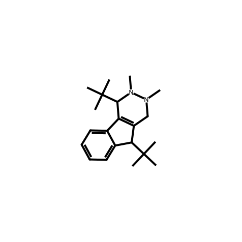 CN1CC2=C(c3ccccc3C2C(C)(C)C)C(C(C)(C)C)N1C